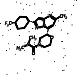 Cc1cc([C@H]2CN(C(=O)N(C)C)CCO2)n2nc([C@H]3CC[C@H](C(F)(F)F)CC3)cc2n1